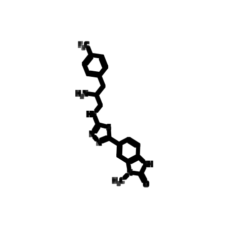 Cn1c(=O)[nH]c2ccc(-c3nnc(NCC(N)Cc4ccc(C(F)(F)F)cc4)s3)cc21